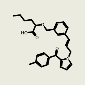 CCCCC(OCc1cccc(/C=C/Cn2cccc2C(=O)c2ccc(C)cc2)c1)C(=O)O